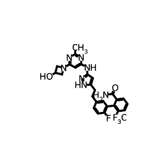 Cc1nc(Nc2cc(CCc3ccc(F)c(-c4c(C(N)=O)cccc4C(F)(F)F)c3)[nH]n2)cc(N2CC(O)C2)n1